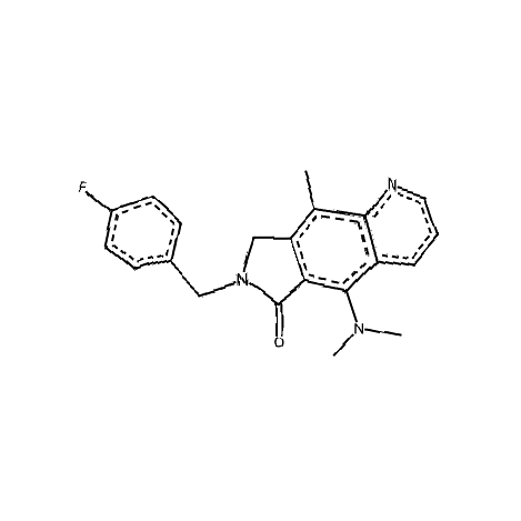 Cc1c2c(c(N(C)C)c3cccnc13)C(=O)N(Cc1ccc(F)cc1)C2